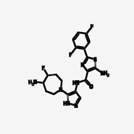 Nc1sc(-c2cc(F)ccc2F)nc1C(=O)Nc1cn[nH]c1N1CCC(N)C(F)CC1